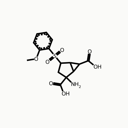 COc1ccccc1S(=O)(=O)C1CC(N)(C(=O)O)C2C(C(=O)O)C21